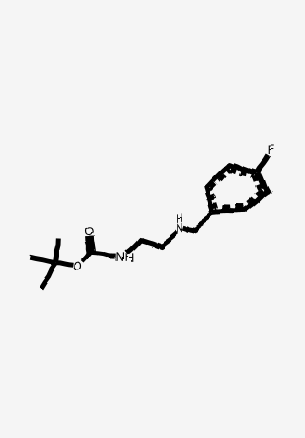 CC(C)(C)OC(=O)NCCNCc1ccc(F)cc1